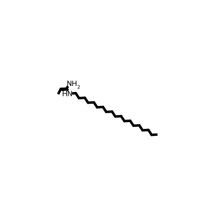 CC=C(N)NCCCCCCCCCCCCCCCCCCC